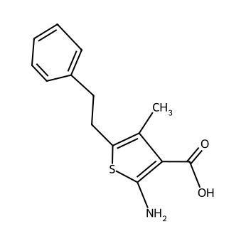 Cc1c(CCc2ccccc2)sc(N)c1C(=O)O